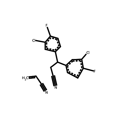 C=CC#N.N#CCC(c1ccc(F)c(Cl)c1)c1ccc(F)c(Cl)c1